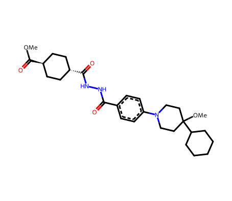 COC(=O)[C@H]1CC[C@H](C(=O)NNC(=O)c2ccc(N3CCC(OC)(C4CCCCC4)CC3)cc2)CC1